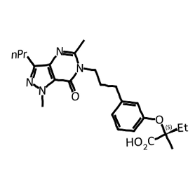 CCCc1nn(C)c2c(=O)n(CCCc3cccc(O[C@@](C)(CC)C(=O)O)c3)c(C)nc12